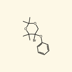 CC1(C)OCC(Br)(Oc2ccccc2)C(C)(C)O1